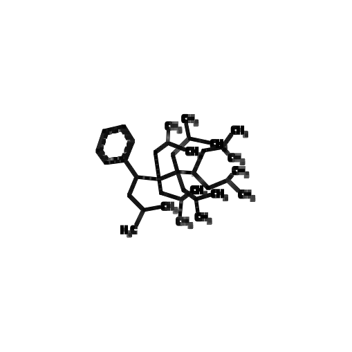 CC(C)C[C](CC(C)C)C(CC(C)C)(CC(C)C)C(CC(C)C)(CC(C)C)C(CC(C)C)c1ccccc1